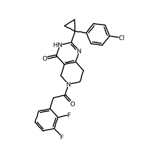 O=C(Cc1cccc(F)c1F)N1CCc2nc(C3(c4ccc(Cl)cc4)CC3)[nH]c(=O)c2C1